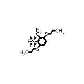 C=CCSc1ccc(SCC=C)c(S(F)(F)(F)(F)F)c1C